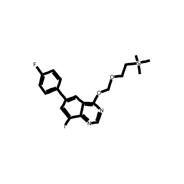 C[Si](C)(C)CCOCOc1ncnc2c(I)cc(-c3ccc(F)cc3)cc12